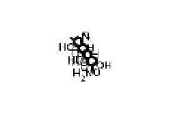 Cc1cc(N(C)C)c2c(c1O)C(=O)C1=C(O)[C@]3(O)C(=O)C(C(N)=O)=C(O)C[C@@H]3C[C@@H]1C2